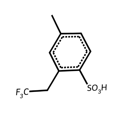 Cc1ccc(S(=O)(=O)O)c(CC(F)(F)F)c1